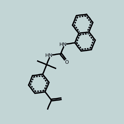 C=C(C)c1cccc(C(C)(C)NC(=O)Nc2cccc3ccccc23)c1